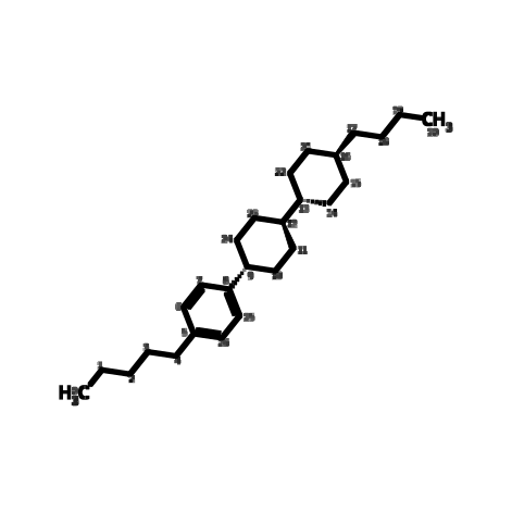 CCCCCc1ccc([C@H]2CC[C@H]([C@H]3CC[C@H](CCCC)CC3)CC2)cc1